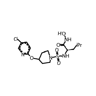 CC(C)C[C@@H](NS(=O)(=O)N1CCC(Oc2ccc(Cl)cn2)CC1)C(=O)NO